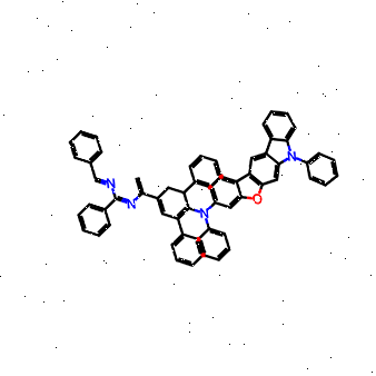 C=C(/N=C(\N=C\c1ccccc1)c1ccccc1)C1=CC(c2ccccc2)=C(N(c2ccccc2)c2ccc3c(c2)oc2cc4c(cc23)c2ccccc2n4-c2ccccc2)C(c2ccccc2)C1